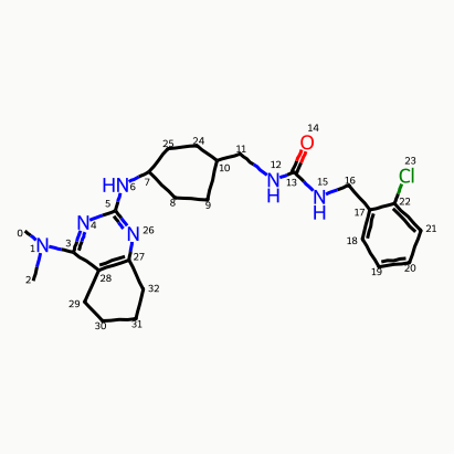 CN(C)c1nc(NC2CCC(CNC(=O)NCc3ccccc3Cl)CC2)nc2c1CCCC2